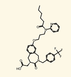 CCCCCC(=O)N(CCCOc1ccc2c(c1)CN(Cc1ccc(C(F)(F)F)cc1)C(=O)[C@@H](CC(=O)O)C2)c1ccccn1